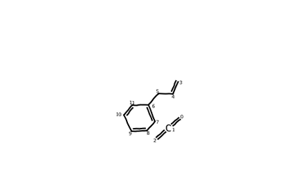 C=C=C.C=CCc1ccccc1